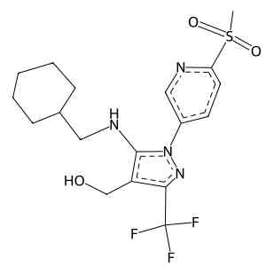 CS(=O)(=O)c1ccc(-n2nc(C(F)(F)F)c(CO)c2NCC2CCCCC2)cn1